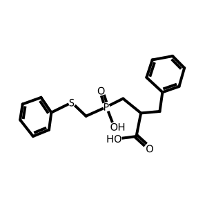 O=C(O)C(Cc1ccccc1)CP(=O)(O)CSc1ccccc1